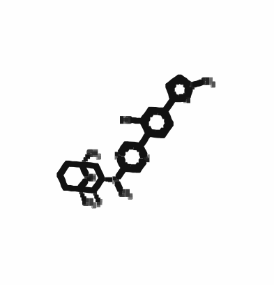 CN(c1cnc(-c2ccc(-c3ccn(C)n3)cc2O)cn1)[C@H]1C[C@]2(C)CCC[C@@](C)(N2)[C@H]1F